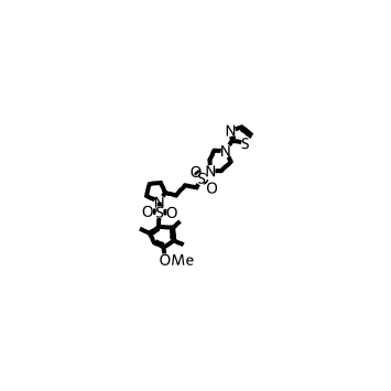 COc1cc(C)c(S(=O)(=O)N2CCCC2CCCS(=O)(=O)N2CCN(c3nccs3)CC2)c(C)c1C